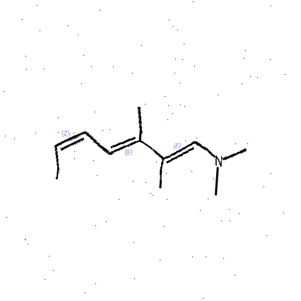 C\C=C/C=C(C)/C(C)=C/N(C)C